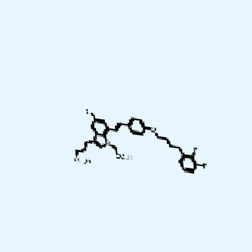 O=C(O)CCCc1cn(CC(=O)O)c2c(C=Cc3ccc(OCCCCc4cccc(F)c4F)cc3)cc(Cl)cc12